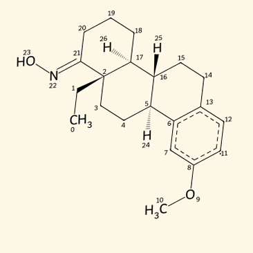 CC[C@]12CC[C@@H]3c4cc(OC)[c]cc4CC[C@H]3[C@@H]1CCC/C2=N\O